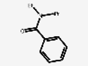 [CH2]CN(C(=O)c1ccccc1)C(C)C